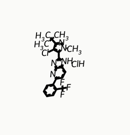 Cl.Cn1nc(C(C)(C)C)c(Cl)c1-c1nc2nc(-c3ccccc3C(F)(F)F)ccc2[nH]1